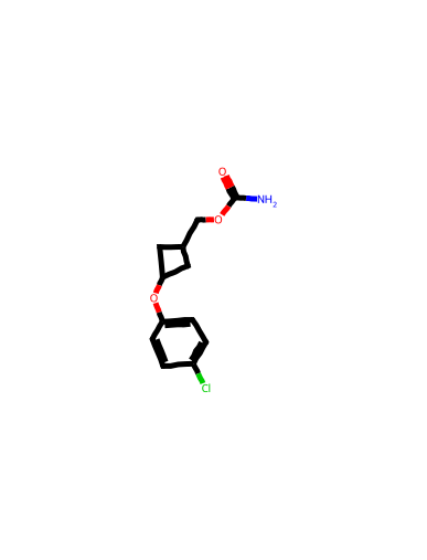 NC(=O)OCC1CC(Oc2ccc(Cl)cc2)C1